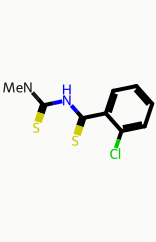 CNC(=S)NC(=S)c1ccccc1Cl